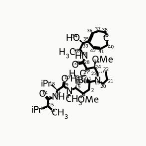 C=C(C[C@@H](OC)C([C@@H](C)CC)N(C)C(=O)[C@@H](NC(=O)C(C)C(C)C)C(C)C)N1CCC[C@H]1[C@H](OC)[C@@H](C)C(=O)N[C@H](C)[C@@H](O)C1=C/CCCC/C=C\1